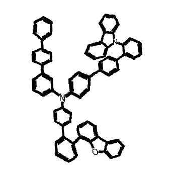 c1ccc(-c2ccc(-c3cccc(N(c4ccc(-c5ccc(-c6ccccc6-n6c7ccccc7c7ccccc76)cc5)cc4)c4ccc(-c5ccccc5-c5cccc6c5oc5ccccc56)cc4)c3)cc2)cc1